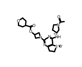 CC(=O)N1CC[C@@H](Nc2nc(N3CC(OC(=O)C4CCOCC4)C3)nc3c2[S+]([O-])CC3)C1